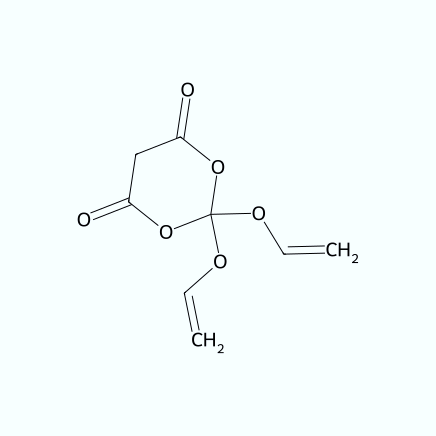 C=COC1(OC=C)OC(=O)CC(=O)O1